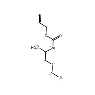 C=CCOC(=O)NC(CSSC(C)(C)C)C(=O)O